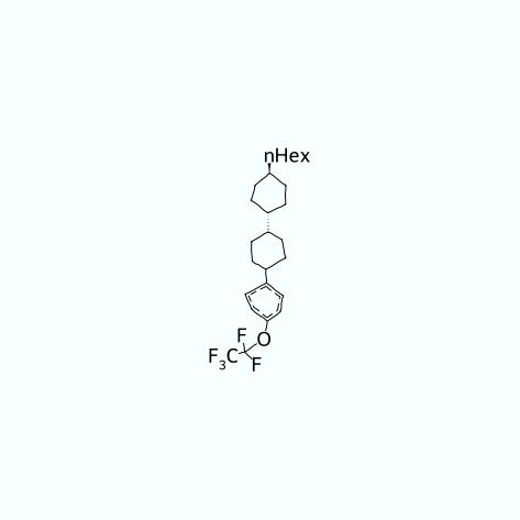 CCCCCC[C@H]1CC[C@H](C2CCC(c3ccc(OC(F)(F)C(F)(F)F)cc3)CC2)CC1